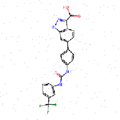 O=C(Nc1ccc(-c2ccc3c(C(=O)O)n[nH]c3c2)cc1)Nc1cccc(C(F)(F)F)c1